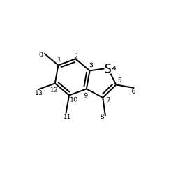 Cc1cc2sc(C)c(C)c2c(C)c1C